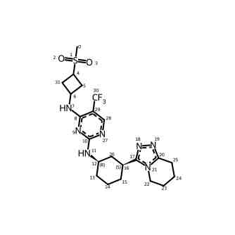 CS(=O)(=O)C1CC(Nc2nc(N[C@@H]3CCC[C@H](c4nnc5n4CCCC5)C3)ncc2C(F)(F)F)C1